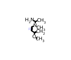 C=C(/C=C\N(C)C(C)N)OC